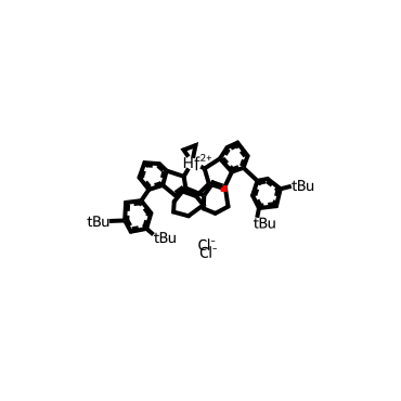 CC(C)(C)c1cc(-c2cccc3c2C=C(C2CCCCC2)[CH]3[Hf+2]2([CH]3C(C4CCCCC4)=Cc4c(-c5cc(C(C)(C)C)cc(C(C)(C)C)c5)cccc43)[CH2][CH2]2)cc(C(C)(C)C)c1.[Cl-].[Cl-]